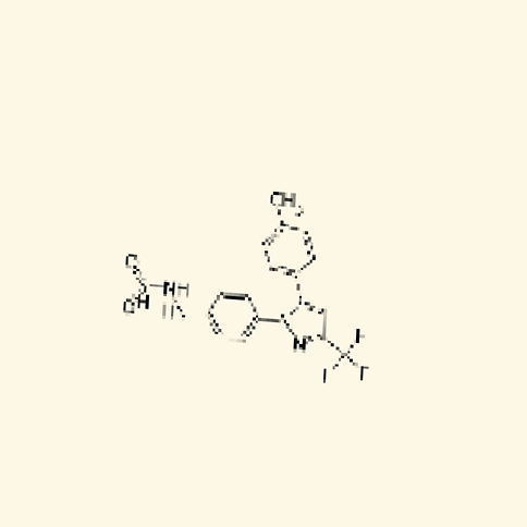 Cc1ccc(-c2cc(C(F)(F)F)nn2-c2ccc(NN[SH](=O)=O)cc2)cc1